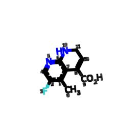 Cc1c(F)cnc2c1C(C(=O)O)=CCN2